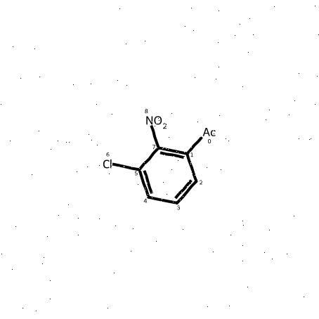 CC(=O)c1cccc(Cl)c1[N+](=O)[O-]